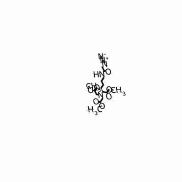 COC(=O)CN(CC(=O)OC)[C@@H](CCCCNC(=O)CN=[N+]=[N-])C(=O)OC